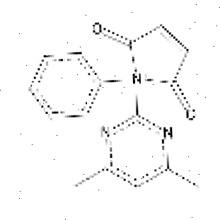 Cc1cc(C)nc([N+]2(c3ccccc3)C(=O)C=CC2=O)n1